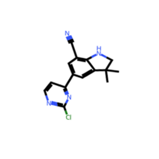 CC1(C)CNc2c(C#N)cc(-c3ccnc(Cl)n3)cc21